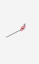 C=C(C)COCC(=C)C(=O)OCCCCCCCCCCCCCCCC